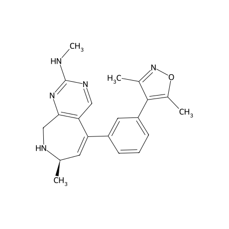 CNc1ncc2c(n1)CN[C@H](C)C=C2c1cccc(-c2c(C)noc2C)c1